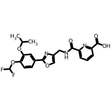 CC(C)Oc1cc(-c2nc(CNC(=O)c3cccc(C(=O)O)n3)co2)ccc1OC(F)F